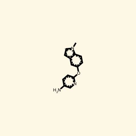 Cn1[c]cc2cc(Oc3ccc(N)cn3)ccc21